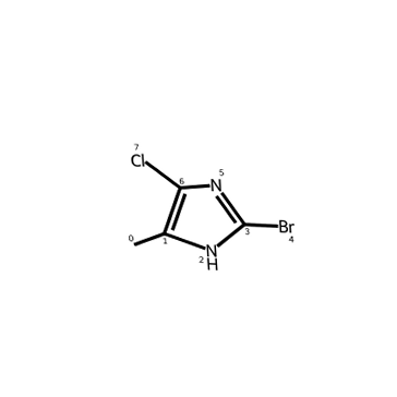 Cc1[nH]c(Br)nc1Cl